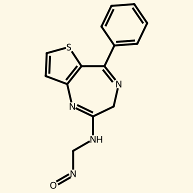 O=NCNC1=Nc2ccsc2C(c2ccccc2)=NC1